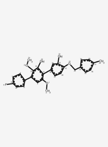 COc1cc(-c2ccc(F)cc2)c(OC)c(O)c1-c1ccc(OCc2ccc(C)cc2)c(O)c1